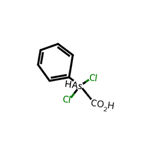 O=C(O)[AsH](Cl)(Cl)c1ccccc1